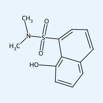 CN(C)S(=O)(=O)c1cccc2cccc(O)c12